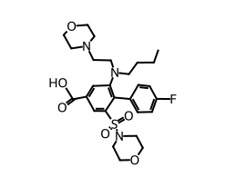 CCCCN(CCN1CCOCC1)c1cc(C(=O)O)cc(S(=O)(=O)N2CCOCC2)c1-c1ccc(F)cc1